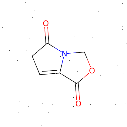 O=C1OCN2C(=O)CC=C12